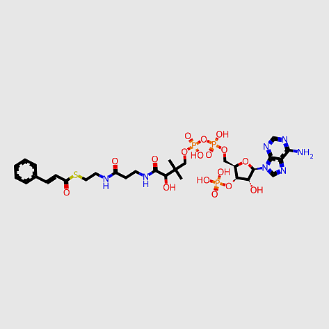 CC(C)(COP(=O)(O)OP(=O)(O)OC[C@H]1O[C@@H](n2cnc3c(N)ncnc32)[C@H](O)[C@@H]1OP(=O)(O)O)C(O)C(=O)NCCC(=O)NCCSC(=O)C=Cc1ccccc1